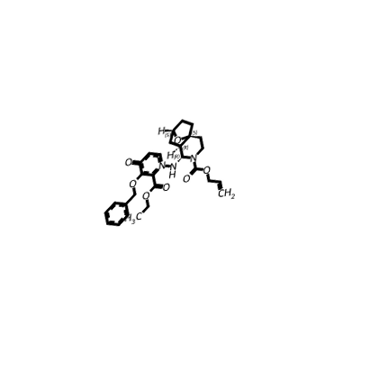 C=CCOC(=O)N1CC[C@@]23CC[C@@H](C[C@@H]2[C@H]1Nn1ccc(=O)c(OCc2ccccc2)c1C(=O)OCC)O3